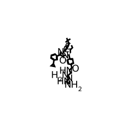 CCCC[C@H](c1ccc(C(=O)NC/C(N)=N/NN)cc1)N1C(=O)C(c2cccc(C3CC3)c2)=NC1=C=C=CC(C)(C)C